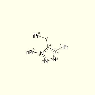 CCCn1nnc(C(C)C)c1CC(C)C